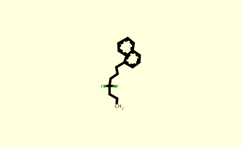 [CH2]CCC(F)(F)CCCc1cccc2ccccc12